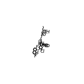 CCCC(C[S+]([O-])CCCCOc1nc(N2CC3CCC(C2)N3)c2cc(Cl)c(Cc3cccc4ccc(F)c(F)c34)c(F)c2n1)NC